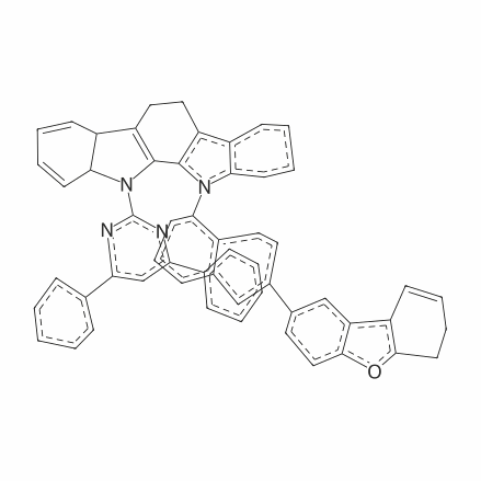 C1=CC2C3=C(c4c(c5ccccc5n4-c4cccc5cc(-c6ccc7oc8c(c7c6)C=CCC8)ccc45)CC3)N(c3nc(-c4ccccc4)cc(-c4ccccc4)n3)C2C=C1